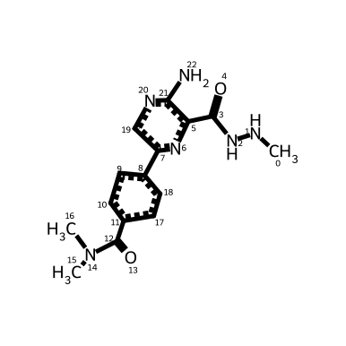 CNNC(=O)c1nc(-c2ccc(C(=O)N(C)C)cc2)cnc1N